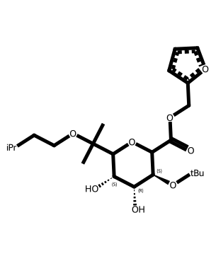 CC(C)CCOC(C)(C)C1OC(C(=O)OCc2ccco2)[C@@H](OC(C)(C)C)[C@H](O)[C@@H]1O